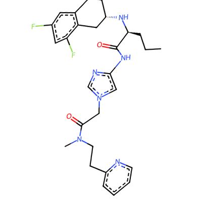 CCC[C@H](N[C@H]1CCc2cc(F)cc(F)c2C1)C(=O)Nc1cn(CC(=O)N(C)CCc2ccccn2)cn1